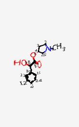 CN1CC[C@@H](OC(=O)C(O)c2ccccc2)C1